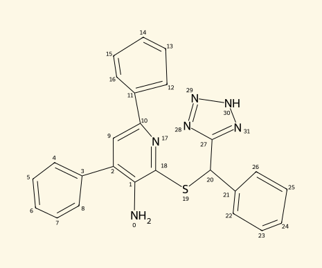 Nc1c(-c2ccccc2)cc(-c2ccccc2)nc1SC(c1ccccc1)c1nn[nH]n1